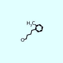 Cc1ccccc1CCCC[O]